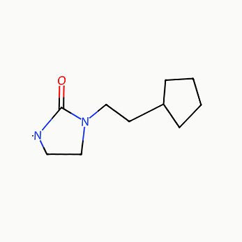 O=C1[N]CCN1CCC1CCCC1